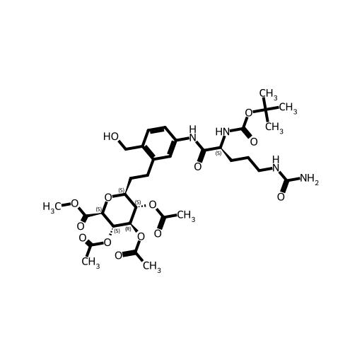 COC(=O)[C@H]1O[C@@H](CCc2cc(NC(=O)[C@H](CCCNC(N)=O)NC(=O)OC(C)(C)C)ccc2CO)[C@H](OC(C)=O)[C@@H](OC(C)=O)[C@@H]1OC(C)=O